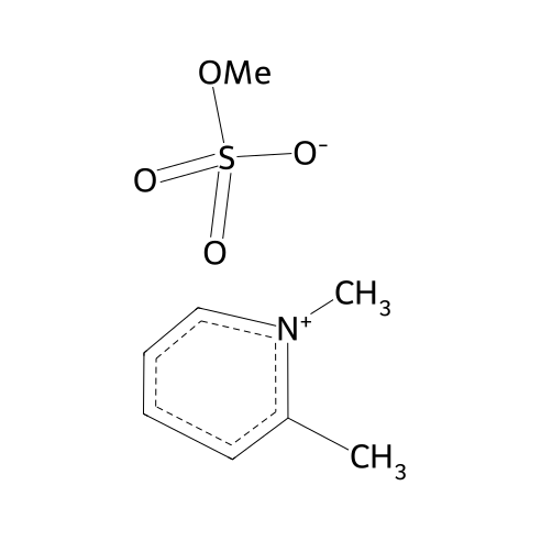 COS(=O)(=O)[O-].Cc1cccc[n+]1C